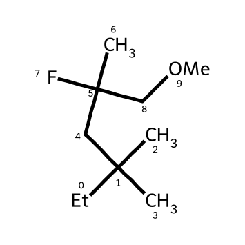 CCC(C)(C)CC(C)(F)COC